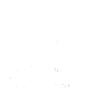 c1ccc(COc2ccc(OCc3ccccc3)c(N3CCNCC3)c2)cc1